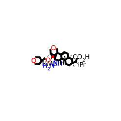 CNC1(CO[C@H]2[C@H](NN)C[C@@]34COC[C@@]2(C)[C@@H]3CC[C@H]2C4=CC[C@@]3(C)[C@H](C(=O)O)[C@@](C)([C@H](C)C(C)C)CC[C@]23C)CCOCC1